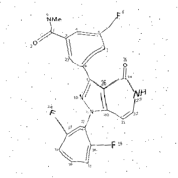 CNC(=O)c1cc(F)cc(-c2nn(-c3c(F)cccc3F)c3cc[nH]c(=O)c23)c1